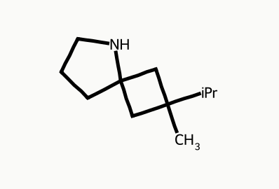 CC(C)C1(C)CC2(CCCN2)C1